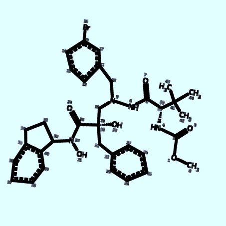 COC(=O)N[C@H](C(=O)NN(Cc1cccc(Br)c1)C[C@@](O)(Cc1ccccc1)C(=O)N(O)C1CCc2ccccc21)C(C)(C)C